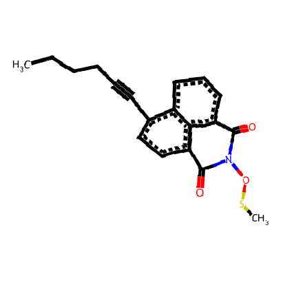 CCCCC#Cc1ccc2c3c(cccc13)C(=O)N(OSC)C2=O